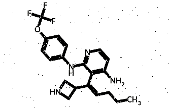 CCC/C=C(\c1c(N)ccnc1Nc1ccc(OC(F)(F)F)cc1)C1CNC1